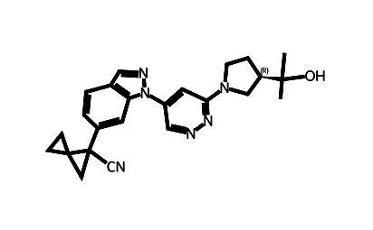 CC(C)(O)[C@@H]1CCN(c2cc(-n3ncc4ccc(C5(C#N)CC56CC6)cc43)cnn2)C1